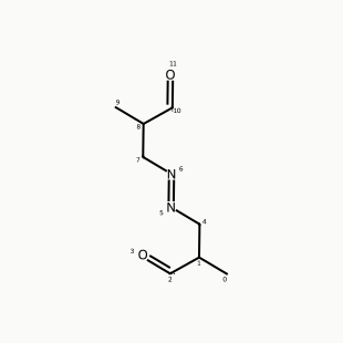 CC([C]=O)CN=NCC(C)[C]=O